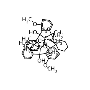 COc1ccccc1C(O)(c1ccccc1OC)[C@H](N(C(=O)C1(C(N)=O)CCCCC1)[C@H](C(C)(C)C)C(O)(c1ccccc1OC)c1ccccc1OC)C(C)(C)C